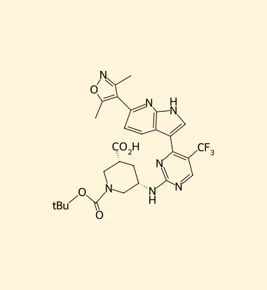 Cc1noc(C)c1-c1ccc2c(-c3nc(N[C@H]4C[C@@H](C(=O)O)CN(C(=O)OC(C)(C)C)C4)ncc3C(F)(F)F)c[nH]c2n1